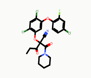 CCC(=O)C(C#N)(Oc1cc(Oc2ccc(Cl)cc2F)c(Cl)cc1Cl)C(=O)N1CCCCC1